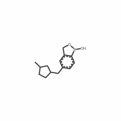 CC1CCC(Cc2ccc3c(c2)COB3O)C1